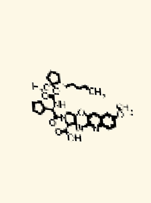 C=CCCC[C@H]1CCC[C@]1(C)OC(=O)N[C@H](C(=O)N1C[C@H](Oc2cc3cc(OC)ccc3nc2Br)C[C@H]1C(=O)O)C1CCCC1